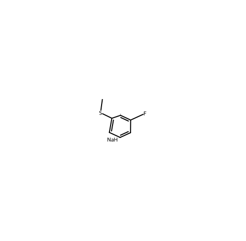 CSc1[c]c(F)ccc1.[NaH]